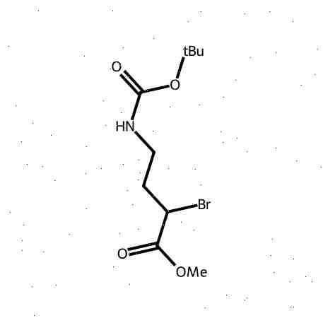 COC(=O)C(Br)CCNC(=O)OC(C)(C)C